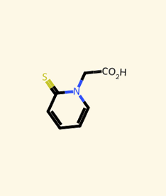 O=C(O)Cn1ccccc1=S